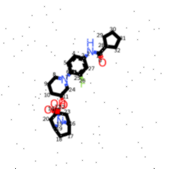 O=C(Nc1ccc(N2CCCC(OC(=O)N3C4CCC3CC(O)C4)C2)c(F)c1)C1CCCC1